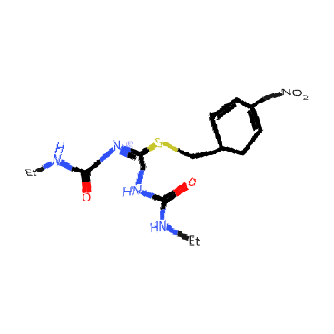 CCNC(=O)/N=C(\NC(=O)NCC)SCC1C=CC([N+](=O)[O-])=CC1